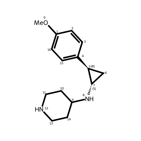 COc1ccc([C@H]2C[C@@H]2NC2CCNCC2)cc1